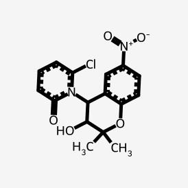 CC1(C)Oc2ccc([N+](=O)[O-])cc2C(n2c(Cl)cccc2=O)C1O